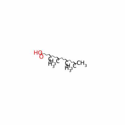 CC(C)=CCC/C(C)=C/CC/C(C)=C/CC/C(C)=C/CCC(=O)O